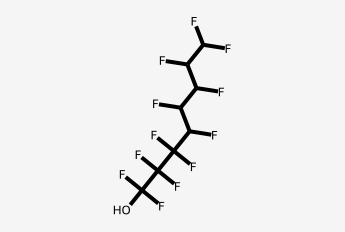 OC(F)(F)C(F)(F)C(F)(F)C(F)C(F)C(F)C(F)C(F)F